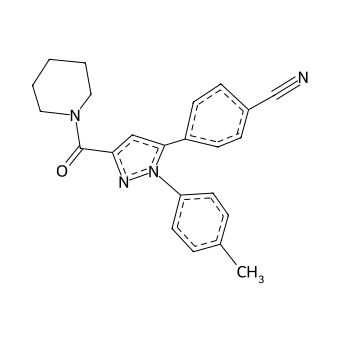 Cc1ccc(-n2nc(C(=O)N3CCCCC3)cc2-c2ccc(C#N)cc2)cc1